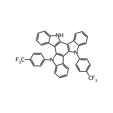 FC(F)(F)c1ccc(-n2c3ccccc3c3c4[nH]c5ccccc5c4c4c(c5ccccc5n4-c4ccc(C(F)(F)F)cc4)c32)cc1